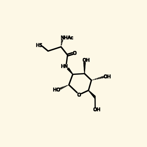 CC(=O)N[C@@H](CS)C(=O)N[C@H]1[C@@H](O)[C@H](O)[C@@H](CO)O[C@@H]1O